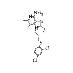 CCc1nc2c(N)nc(C)c(C)c2n1CCCSc1ccc(Cl)cc1Cl